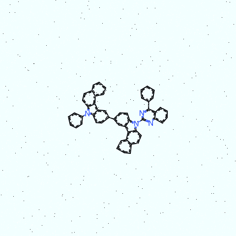 c1ccc(-c2nc(-n3c4ccc(-c5ccc6c(c5)c5c7ccccc7ccc5n6-c5ccccc5)cc4c4c5ccccc5ccc43)nc3ccccc23)cc1